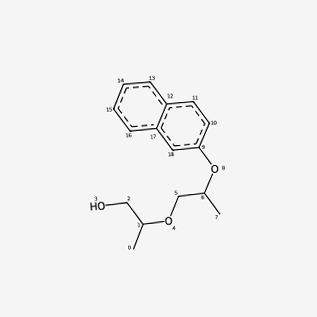 CC(CO)OCC(C)Oc1ccc2ccccc2c1